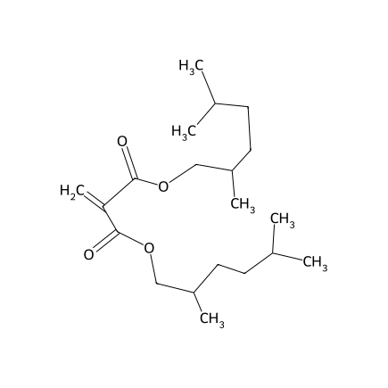 C=C(C(=O)OCC(C)CCC(C)C)C(=O)OCC(C)CCC(C)C